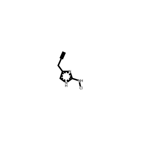 C#CCc1c[nH]c(NCl)n1